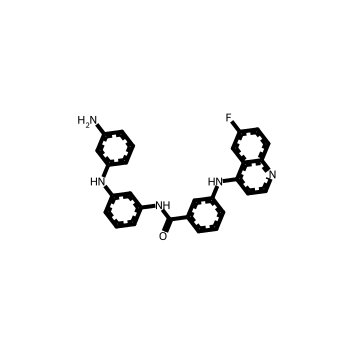 Nc1cccc(Nc2cccc(NC(=O)c3cccc(Nc4ccnc5ccc(F)cc45)c3)c2)c1